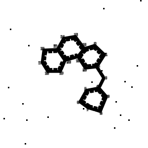 [c]1cc(Cc2ccccc2)cc2c1ccc1ccccc12